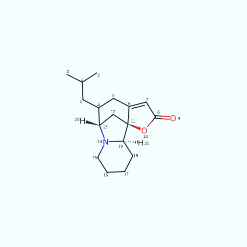 CC(C)CC1CC2=CC(=O)O[C@@]23C[C@@H]1N1CCCC[C@@H]13